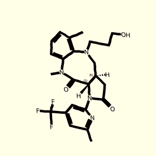 Cc1cc(C(F)(F)F)cc(N2C(=O)C[C@@H]3CN(CCCO)c4c(C)cccc4N(C)C(=O)[C@H]32)n1